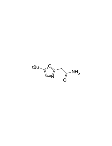 CC(C)(C)c1cnc(CC(N)=O)o1